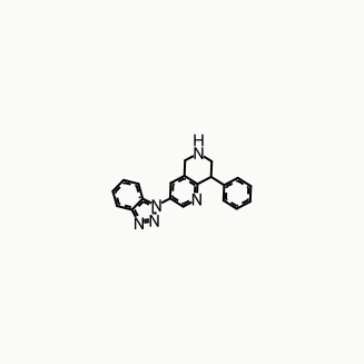 c1ccc(C2CNCc3cc(-n4nnc5ccccc54)cnc32)cc1